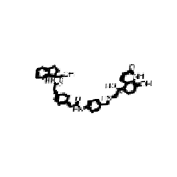 O=C(Cc1ccc(CC(=O)NC2(C(=O)O)CCc3ccccc32)cc1)Nc1ccc(CNC[C@H](O)c2ccc(O)c3[nH]c(=O)ccc23)cc1